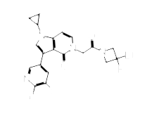 CCC1(F)CN(C(=O)Cn2ccc3c(c(-c4cnc(Cl)c(Cl)c4)cn3C3CC3)c2=O)C1